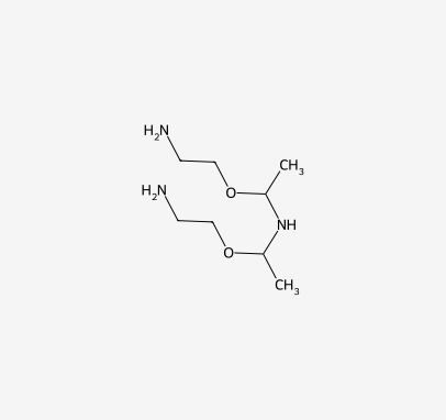 CC(NC(C)OCCN)OCCN